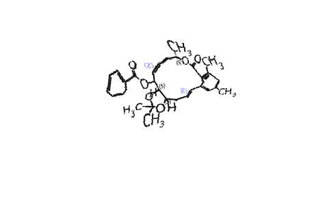 Cc1cc(C)c2c(c1)/C=C/C[C@@H]1OC(C)(C)O[C@@H]1C(OC(=O)c1ccccc1)/C=C\C[C@H](C)OC2=O